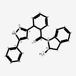 C[C@@H]1Cc2ccccc2N1C(=O)C1C=CC=CC1c1cc(-c2ccccc2)[nH]n1